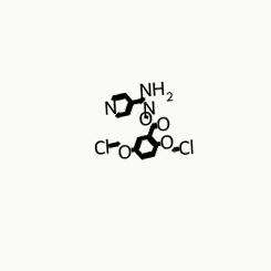 N/C(=N/OC(=O)c1cc(OCCl)ccc1OCCl)c1ccncc1